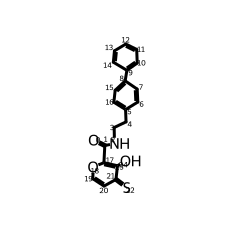 O=C(NCCc1ccc(-c2ccccc2)cc1)c1occc(=S)c1O